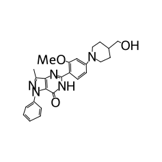 COc1cc(N2CCC(CO)CC2)ccc1-c1nc2c(C)nn(-c3ccccc3)c2c(=O)[nH]1